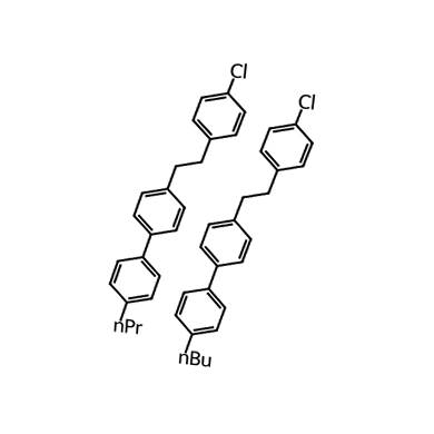 CCCCc1ccc(-c2ccc(CCc3ccc(Cl)cc3)cc2)cc1.CCCc1ccc(-c2ccc(CCc3ccc(Cl)cc3)cc2)cc1